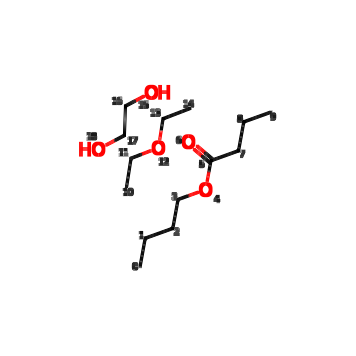 CCCCOC(=O)CCC.CCOCC.OCCO